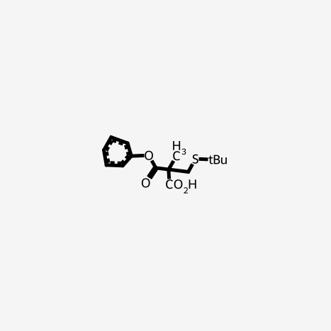 CC(C)(C)SCC(C)(C(=O)O)C(=O)Oc1ccccc1